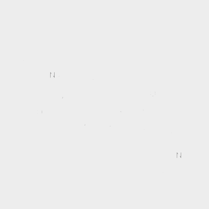 O=C(c1ccc(C(=O)N2CCCCC2)cc1)c1cccnc1